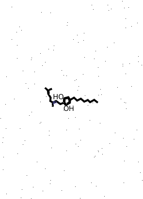 CCCCCCCCc1cc(O)c(C/C=C(\C)CCC=C(C)C)c(O)c1